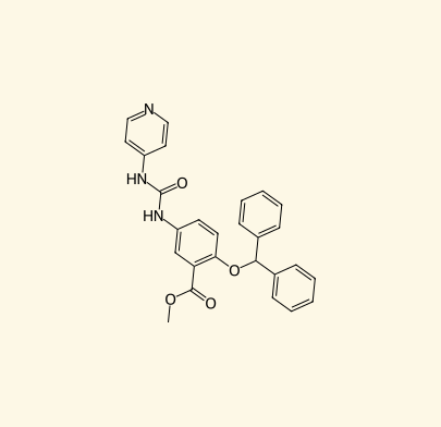 COC(=O)c1cc(NC(=O)Nc2ccncc2)ccc1OC(c1ccccc1)c1ccccc1